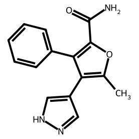 Cc1oc(C(N)=O)c(-c2ccccc2)c1-c1cn[nH]c1